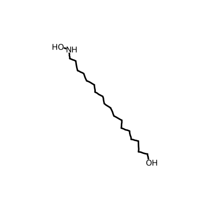 OCCCCCCCCCCCCCCCCCCNO